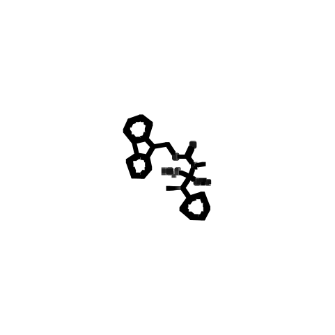 CO[C@](C(=O)O)([C@H](C)c1ccccc1)N(C)C(=O)OCC1c2ccccc2-c2ccccc21